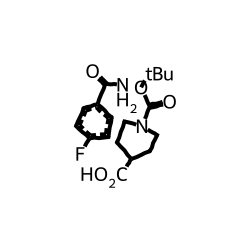 CC(C)(C)OC(=O)N1CCC(C(=O)O)CC1.NC(=O)c1ccc(F)cc1